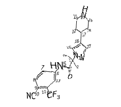 CC(C)(C(=O)Nc1ccc(C#N)c(C(F)(F)F)c1)n1cc(C2CCNCC2)cn1